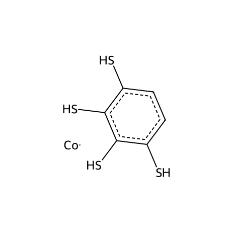 Sc1ccc(S)c(S)c1S.[Co]